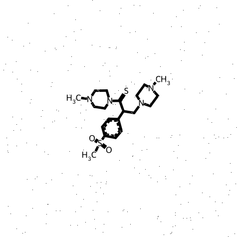 CN1CCN(CC(C(=S)N2CCN(C)CC2)c2ccc(S(C)(=O)=O)cc2)CC1